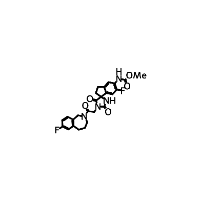 COC(=O)Nc1cc2c(cc1F)C1(CC2)NC(=O)N(CC(=O)N2CCCc3cc(F)ccc3C2)C1=O